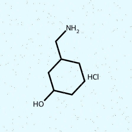 Cl.NCC1CCCC(O)C1